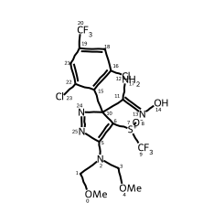 COCN(COC)C1=C([S+]([O-])C(F)(F)F)C(C(N)=NO)(c2c(Cl)cc(C(F)(F)F)cc2Cl)N=N1